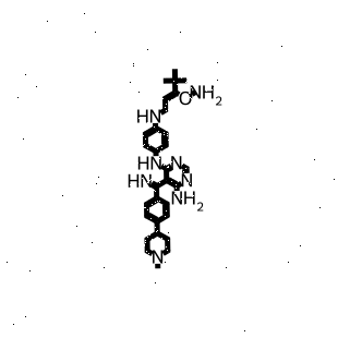 CN1CCC(c2ccc(C(=N)c3c(N)ncnc3NC3C=CC(NC/C=C(\ON)C(C)(C)C)=CC3)cc2)CC1